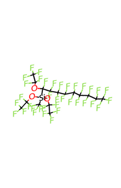 FC(F)(F)C(F)(F)OC(F)(C(F)(F)C(F)(F)C(F)(F)C(F)(F)C(F)(F)C(F)(F)C(F)(F)C(F)(F)F)[Si](OC(F)(F)C(F)(F)F)(OC(F)(F)C(F)(F)F)C(F)(F)F